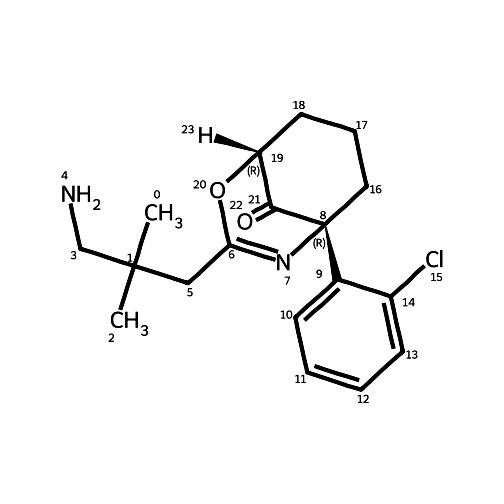 CC(C)(CN)CC1=N[C@@]2(c3ccccc3Cl)CCC[C@@H](O1)C2=O